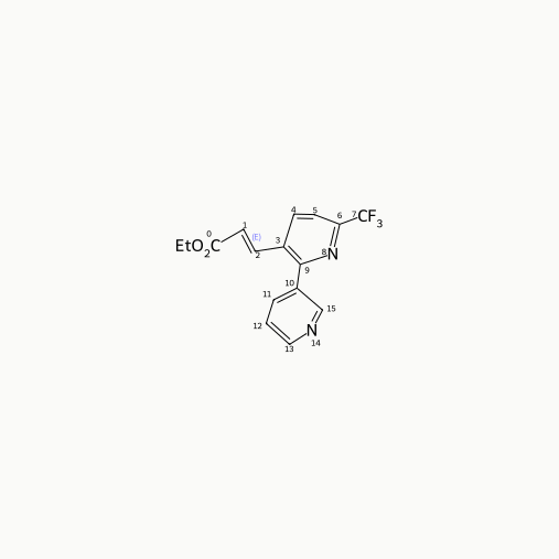 CCOC(=O)/C=C/c1ccc(C(F)(F)F)nc1-c1cccnc1